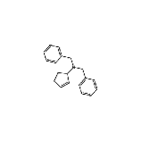 C1=CC(N(Cc2ccccc2)Cc2ccccc2)CC1